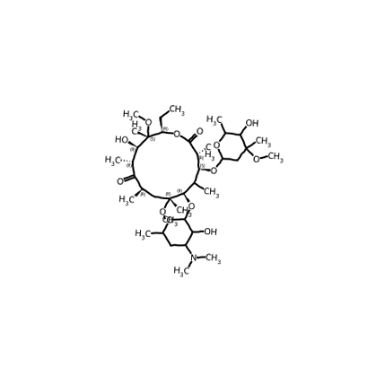 CC[C@H]1OC(=O)[C@H](C)[C@@H](OC2CC(C)(OC)C(O)C(C)O2)C(C)[C@@H](OC2OC(C)CC(N(C)C)C2O)[C@](C)(OC)C[C@@H](C)C(=O)[C@H](C)[C@@H](O)[C@]1(C)OC